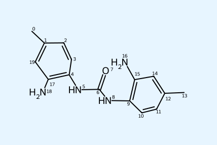 Cc1ccc(NC(=O)Nc2ccc(C)cc2N)c(N)c1